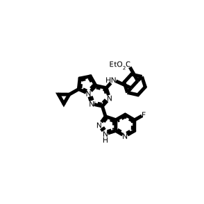 CCOC(=O)C1C2CCC(CC2)C1Nc1nc(-c2n[nH]c3ncc(F)cc23)nn2c(C3CC3)ccc12